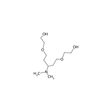 CN(C)C(CCOCCO)CCOCCO